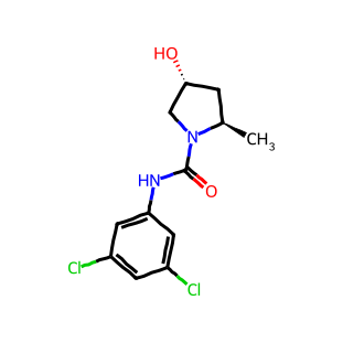 C[C@@H]1C[C@@H](O)CN1C(=O)Nc1cc(Cl)cc(Cl)c1